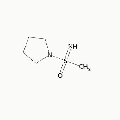 CS(=N)(=O)N1CCCC1